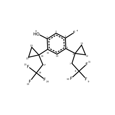 Oc1cc(F)c(C2(CC(F)(F)F)CC2)cc1C1(CC(F)(F)F)CC1